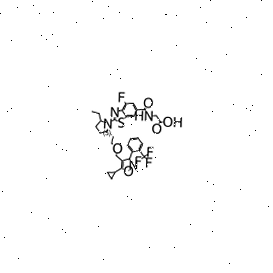 CCC1CC[C@@H](CCOCc2c(-c3ccccc3C(F)(F)F)noc2C2CC2)N1c1nc2c(F)cc(C(=O)NCC(=O)O)cc2s1